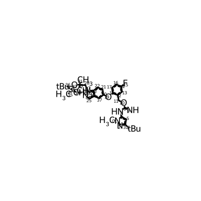 Cn1nc(C(C)(C)C)cc1NC(=N)OCc1cc(F)ccc1Oc1ccc2c(cnn2CC(C)(C)O[Si](C)(C)C(C)(C)C)c1